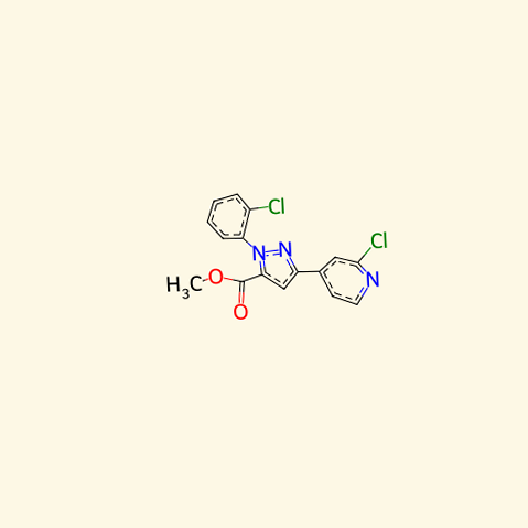 COC(=O)c1cc(-c2ccnc(Cl)c2)nn1-c1ccccc1Cl